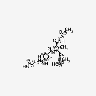 COC(=O)CCNC(=O)C1SC(=NC(=O)c2ccc(C(=N)NCCCC(=O)O)cc2)N(C2CC2)C1C.COS(=O)(=O)O